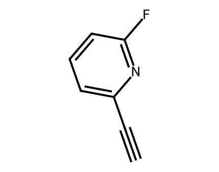 C#Cc1cccc(F)n1